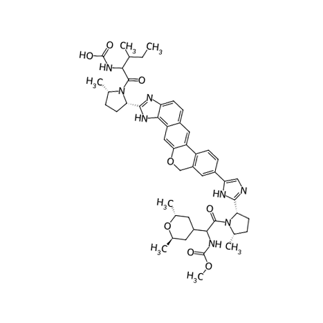 CCC(C)C(NC(=O)O)C(=O)N1[C@@H](C)CC[C@H]1c1nc2ccc3cc4c(cc3c2[nH]1)OCc1cc(-c2cnc([C@@H]3CC[C@H](C)N3C(=O)C(NC(=O)OC)C3C[C@@H](C)O[C@H](C)C3)[nH]2)ccc1-4